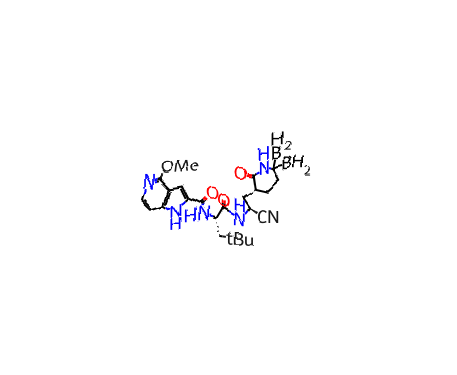 BC1(B)CC[C@@H](C[C@@H](C#N)NC(=O)[C@H](CC(C)(C)C)NC(=O)c2cc3c(OC)nccc3[nH]2)C(=O)N1